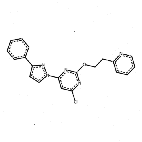 Clc1cc(-n2ccc(-c3ccccc3)n2)nc(OCCc2ccccn2)n1